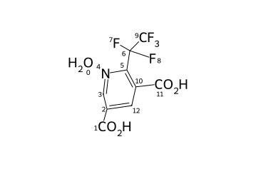 O.O=C(O)c1cnc(C(F)(F)C(F)(F)F)c(C(=O)O)c1